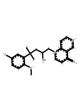 COc1ccc(F)cc1C(C)(C)CC(O)Cn1ccc(=O)c2cnccc21